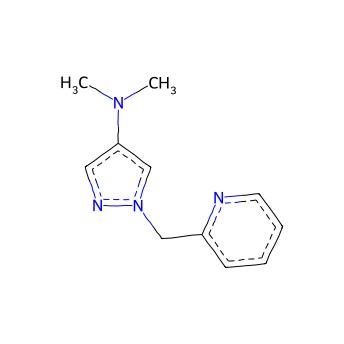 CN(C)c1cnn(Cc2ccccn2)c1